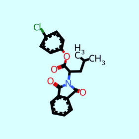 CC(C)CC(C(=O)Oc1ccc(Cl)cc1)N1C(=O)c2ccccc2C1=O